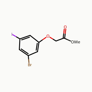 COC(=O)COc1cc(Br)cc(I)c1